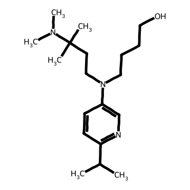 CC(C)c1ccc(N(CCCCO)CCC(C)(C)N(C)C)cn1